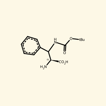 CC(C)(C)OC(=O)NC(c1ccccc1)[C@H](N)C(=O)O